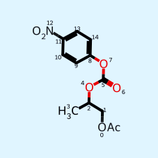 CC(=O)OCC(C)OC(=O)Oc1ccc([N+](=O)[O-])cc1